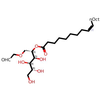 CCCCCCCC/C=C\CCCCCCCC(=O)O[C@@H](COCC=O)[C@@H](O)[C@H](O)[C@H](O)CO